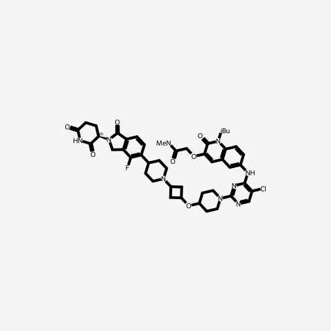 CCC(C)n1c(=O)c(OCC(=O)NC)cc2cc(Nc3nc(N4CCC(OC5CC(N6CCC(c7ccc8c(c7F)CN([C@@H]7CCC(=O)NC7=O)C8=O)CC6)C5)CC4)ncc3Cl)ccc21